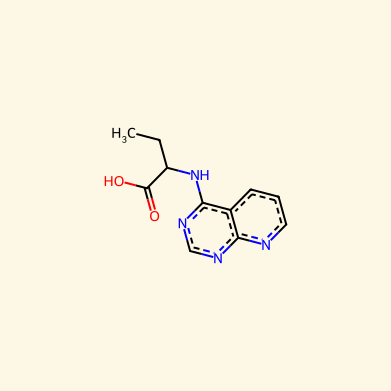 CCC(Nc1ncnc2ncccc12)C(=O)O